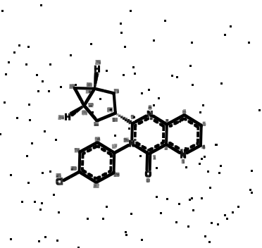 O=c1c2ncccc2nc([C@@H]2C[C@@H]3C[C@@H]3C2)n1-c1ccc(Cl)cc1